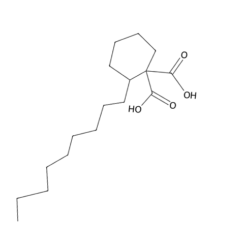 CCCCCCCCCC1CCCCC1(C(=O)O)C(=O)O